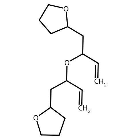 C=CC(CC1CCCO1)OC(C=C)CC1CCCO1